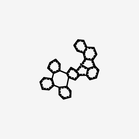 c1ccc2c(c1)-c1ccccc1-c1cc3c4cccc5c6ccc7ccccc7c6n(c3cc1-c1ccccc1-2)c45